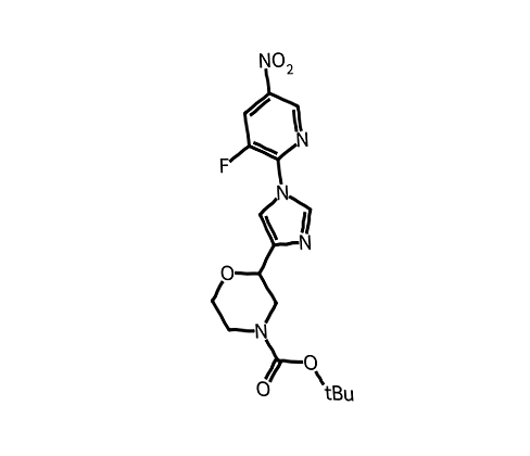 CC(C)(C)OC(=O)N1CCOC(c2cn(-c3ncc([N+](=O)[O-])cc3F)cn2)C1